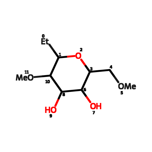 CCC1OC(COC)C(O)C(O)C1OC